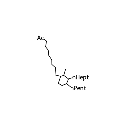 CCCCCCCC1C(CCCCC)CCC(CCCCCCCCC(C)=O)C1C